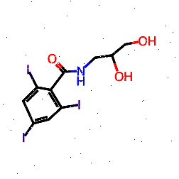 O=C(NCC(O)CO)c1c(I)cc(I)cc1I